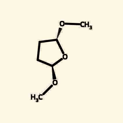 CO[C@H]1CC[C@H](OC)O1